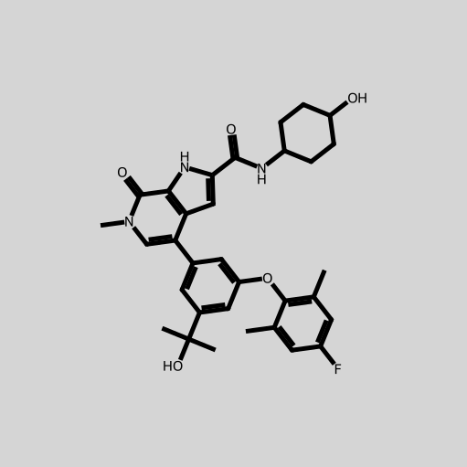 Cc1cc(F)cc(C)c1Oc1cc(-c2cn(C)c(=O)c3[nH]c(C(=O)NC4CCC(O)CC4)cc23)cc(C(C)(C)O)c1